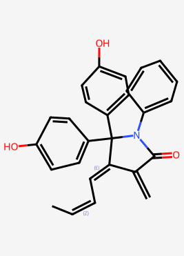 C=C1C(=O)N(c2ccccc2)C(c2ccc(O)cc2)(c2ccc(O)cc2)/C1=C/C=C\C